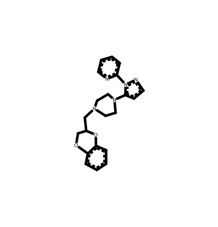 c1ccc(-n2nccc2N2CCN(CC3COc4ccccc4O3)CC2)nc1